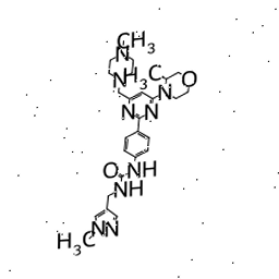 C[C@H]1COCCN1c1cc(CN2CCN(C)CC2)nc(-c2ccc(NC(=O)NCc3cnn(C)c3)cc2)n1